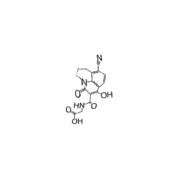 N#Cc1ccc2c(O)c(C(=O)NCC(=O)O)c(=O)n3c2c1CCC3